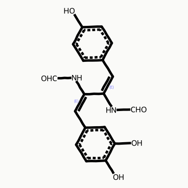 O=CNC(=C/c1ccc(O)cc1)/C(=C\c1ccc(O)c(O)c1)NC=O